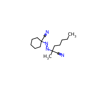 CCCCCC(C)(C#N)N=NC1(C#N)CCCCC1